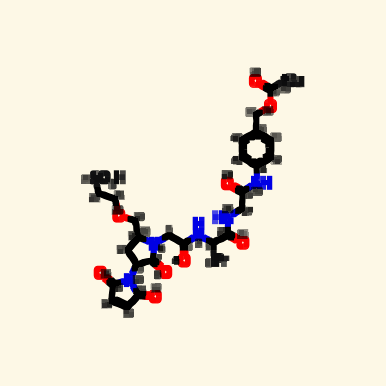 CC(C)C(NC(=O)CN1C(=O)C(N2C(=O)C=CC2=O)C[C@H]1COCCS(=O)(=O)O)C(=O)NCC(=O)Nc1ccc(COC(=O)C(C)(C)C)cc1